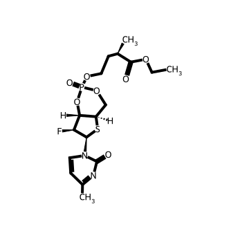 CCOC(=O)[C@H](C)CCOP1(=O)OC[C@H]2S[C@@H](n3ccc(C)nc3=O)[C@@H](F)[C@@H]2O1